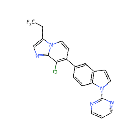 FC(F)(F)Cc1cnc2c(Cl)c(-c3ccc4c(ccn4-c4ncccn4)c3)ccn12